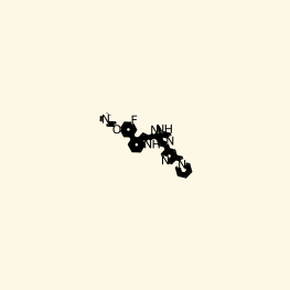 CN(C)CCOc1cc(F)cc(-c2cccc3[nH]c(-c4n[nH]c5cnc(-c6cncc(CN7CCCCC7)c6)cc45)cc23)c1